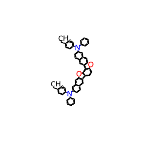 CCc1ccc(N(c2ccccc2)c2ccc3cc4c(cc3c2)oc2c4ccc3oc4cc5cc(N(c6ccccc6)c6ccc(CC)cc6)ccc5cc4c32)cc1